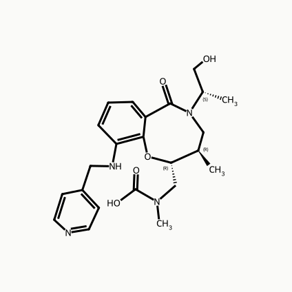 C[C@@H]1CN([C@@H](C)CO)C(=O)c2cccc(NCc3ccncc3)c2O[C@H]1CN(C)C(=O)O